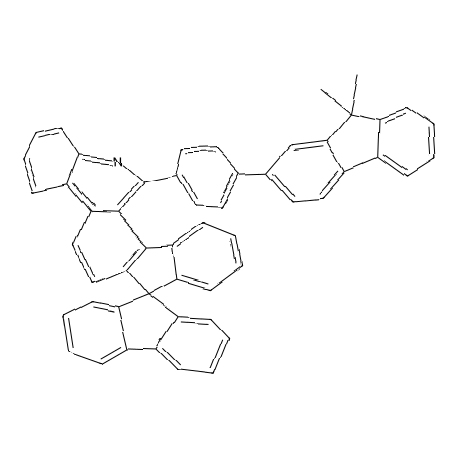 CC1(C)c2ccccc2-c2ccc(-c3ccc(-c4nc5ccccc5c5ccc6c(c45)-c4ccccc4C64c5ccccc5-c5ccccc54)cc3)cc21